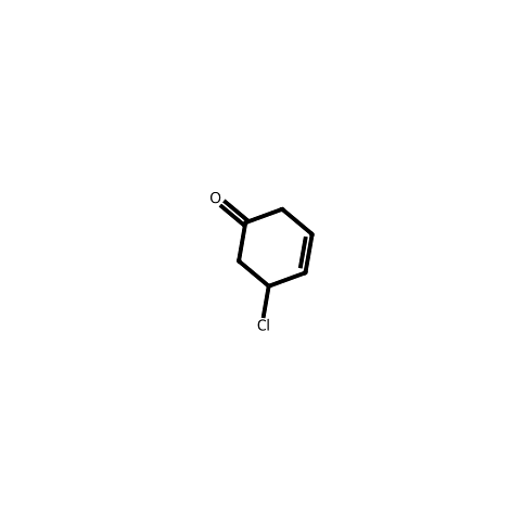 O=C1CC=CC(Cl)C1